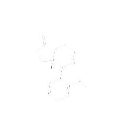 C=Cc1ccccc1C1NCCN2C(=O)CC[C@@H]12